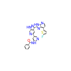 O=C(Nc1cncc(-c2cc3c(-c4nc5c(-c6ccc(F)s6)ccnc5[nH]4)n[nH]c3cn2)c1)c1ccccc1